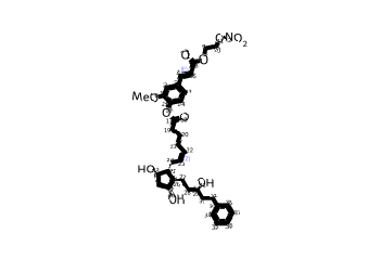 COc1cc(/C=C/C(=O)OCCO[N+](=O)[O-])ccc1OC(=O)CCC/C=C\C[C@@H]1[C@@H](CC[C@@H](O)CCc2ccccc2)[C@H](O)C[C@@H]1O